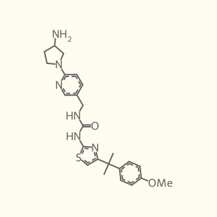 COc1ccc(C(C)(C)c2csc(NC(=O)NCc3ccc(N4CCC(N)C4)nc3)n2)cc1